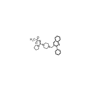 CS(=O)(=O)N=C(N1CCCC1)N1CCN(Cc2cc3ccccc3nc2-c2ccccc2)CC1